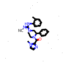 Cc1ccccc1N/C(=N/C#N)N1CCN(C(=O)c2nccn2C)C(c2ccccc2)C1